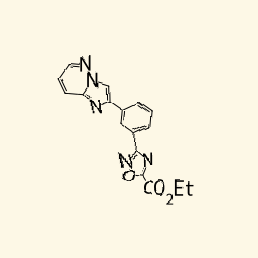 CCOC(=O)c1nc(-c2cccc(-c3cn4ncccc4n3)c2)no1